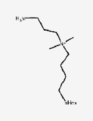 CCCCCCCCCC[N+](C)(C)CCC[SiH3]